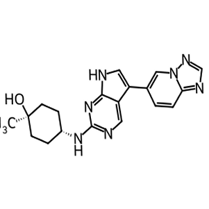 C[C@]1(O)CC[C@H](Nc2ncc3c(-c4ccc5ncnn5c4)c[nH]c3n2)CC1